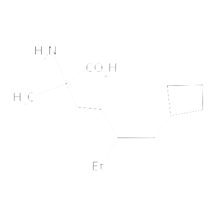 CCC(CCC(C)(N)C(=O)O)CC1CCC1